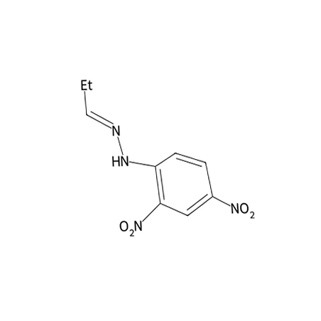 CCC=NNc1ccc([N+](=O)[O-])cc1[N+](=O)[O-]